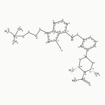 C[C@@H]1CN(c2cccc(CNc3ncnc4c3c(I)nn4COCC[Si](C)(C)C)n2)C[C@H](C)N1C(=O)O